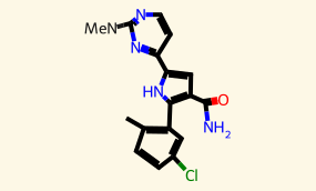 CNc1nccc(-c2cc(C(N)=O)c(-c3cc(Cl)ccc3C)[nH]2)n1